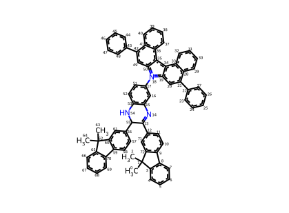 CC1(C)c2ccccc2-c2ccc(C3=Nc4cc(-n5c6cc(-c7ccccc7)c7ccccc7c6c6c7ccccc7c(-c7ccccc7)cc65)ccc4NC3c3ccc4c(c3)C(C)(C)c3ccccc3-4)cc21